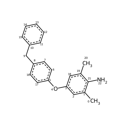 Cc1cc(Oc2ccc(Cc3ccccc3)cc2)cc(C)c1N